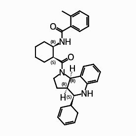 Cc1ccccc1C(=O)N[C@@H]1CCCC[C@@H]1C(=O)N1CC[C@@H]2[C@H](C3C=CC=CC3)Nc3ccccc3[C@@H]21